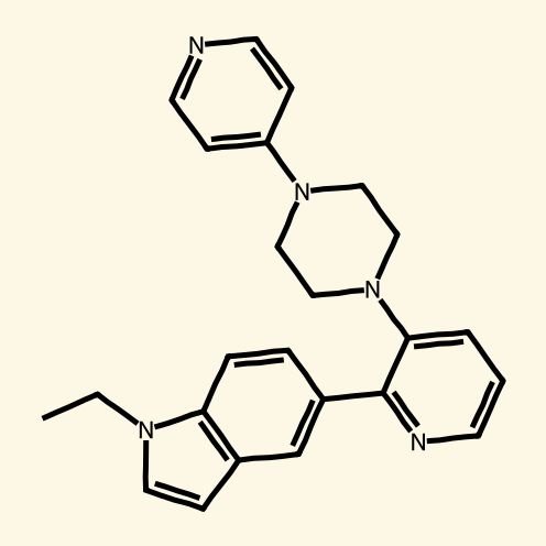 CCn1ccc2cc(-c3ncccc3N3CCN(c4ccncc4)CC3)ccc21